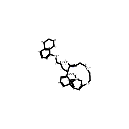 CO[N+]12C=C3C=C(C1)OCCOCC/C=C(\C(=O)O)C(CCCOc1cccc4c1CCCC4)C1=CC=CC3C12